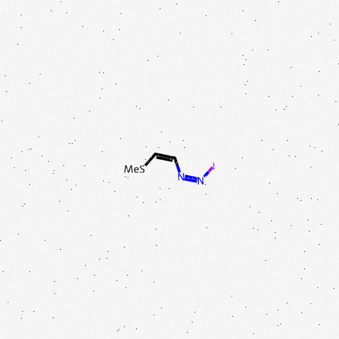 CS/C=C\N=N/I